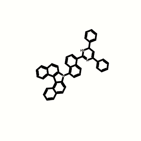 C1=C(c2ccccc2)N=C(c2cccc3c(-n4c5ccc6ccccc6c5c5c6ccccc6ccc54)cccc23)NC1c1ccccc1